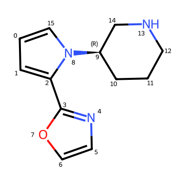 c1cc(-c2ncco2)n([C@@H]2CCCNC2)c1